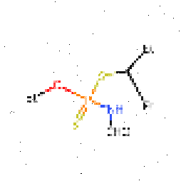 CCOP(=S)(NC=O)SC(CC)CC